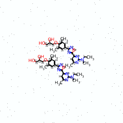 CCN(C)c1nc(C)cc(-c2nc(-c3cc(C)c(OCC(O)CO)c(C)c3)no2)n1.CCN(C)c1nc(C)cc(-c2nc(-c3cc(C)c(OCC(O)CO)c(C)c3)no2)n1